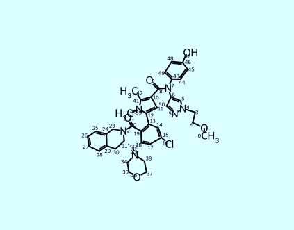 COCCn1cc(N(C(=O)c2cc(-c3cc(Cl)ccc3C(=O)N3Cc4ccccc4C[C@H]3CN3CCOCC3)n(C)c2C)c2ccc(O)cc2)cn1